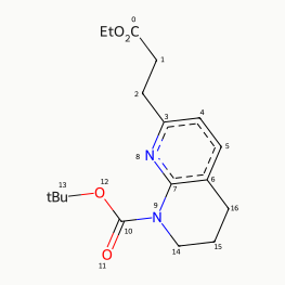 CCOC(=O)CCc1ccc2c(n1)N(C(=O)OC(C)(C)C)CCC2